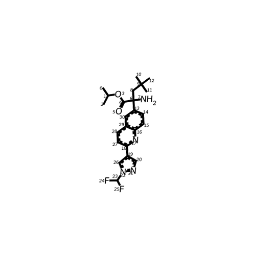 CC(C)OC(=O)C(N)(CC(C)(C)C)c1ccc2nc(-c3cnn(C(F)F)c3)ccc2c1